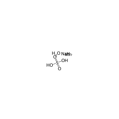 O.O=S(=O)(O)O.[Mn].[NaH]